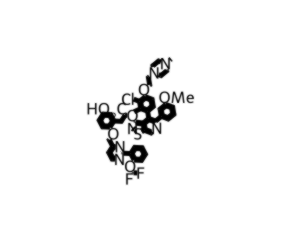 COc1cccc(-c2ncc3snc(OC(Cc4ccccc4OCc4ccnc(-c5ccccc5OC(F)F)n4)C(=O)O)c3c2-c2ccc(OCCN3CCN(C)CC3)c(Cl)c2C)c1